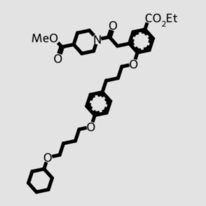 CCOC(=O)c1ccc(OCCCc2ccc(OCCCCOC3CCCCC3)cc2)c(CC(=O)N2CCC(C(=O)OC)CC2)c1